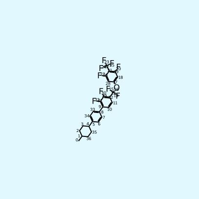 CC1CCC(c2ccc(-c3ccc(C(F)(F)Oc4cc(F)c(C(F)(F)F)c(F)c4)c(F)c3F)cc2)CC1